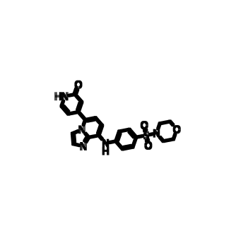 O=c1cc(-c2ccc(Nc3ccc(S(=O)(=O)N4CCOCC4)cc3)c3nccn23)cc[nH]1